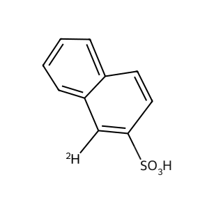 [2H]c1c(S(=O)(=O)O)ccc2ccccc12